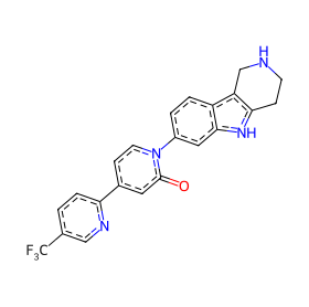 O=c1cc(-c2ccc(C(F)(F)F)cn2)ccn1-c1ccc2c3c([nH]c2c1)CCNC3